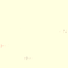 Cc1c(CC#N)cc(C(C)(C)C)c(O)c1C